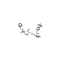 CCCN(CCCCN1CCCN(C(=O)CCc2ccccc2)CC1=O)C(C)Cc1ccc(S(C)(=O)=O)cc1